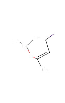 C[SiH](C)OC(=CCI)C(C)(C)C